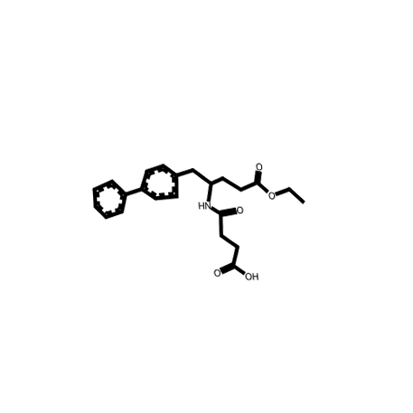 CCOC(=O)CCC(Cc1ccc(-c2ccccc2)cc1)NC(=O)CCC(=O)O